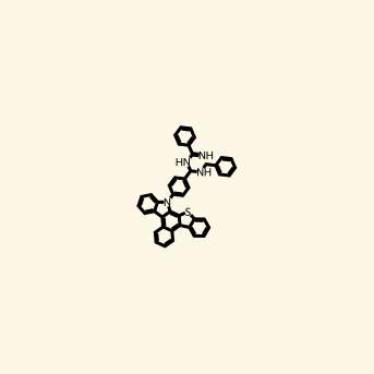 N=C(NC(NCc1ccccc1)c1ccc(-n2c3ccccc3c3c4ccccc4c4c5ccccc5sc4c32)cc1)c1ccccc1